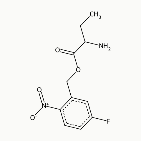 CCC(N)C(=O)OCc1cc(F)ccc1[N+](=O)[O-]